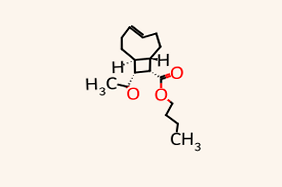 CCCCOC(=O)[C@H]1[C@H]2CC/C=C/CC[C@@H]2[C@H]1C(C)=O